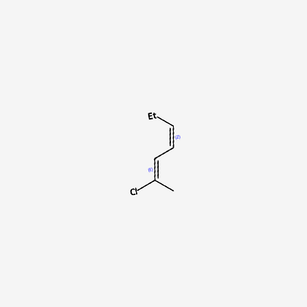 CC/C=C\C=C(/C)Cl